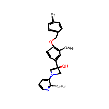 CCc1ccc(COc2ccc(C3(O)CN(c4cccnc4C=O)C3)cc2OC)cc1